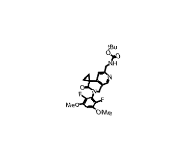 COc1cc(OC)c(F)c(N2Cc3cnc(CNC(=O)OC(C)(C)C)cc3C3(CC3)C2=O)c1F